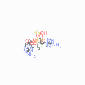 C=C[C@]12C(OP(=O)(S)C[C@@H]3C(COP(=O)(O)S)O[C@@H](n4cnc5c(N)ncnc54)[C@@H]3F)[C@]13CO[C@H]2[C@H](n1cnc2c(N)ncnc21)O3